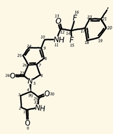 O=C1CC[C@@H](N2Cc3cc(CNC(=O)C(F)(F)c4cccc(F)c4)ccc3C2=O)C(=O)N1